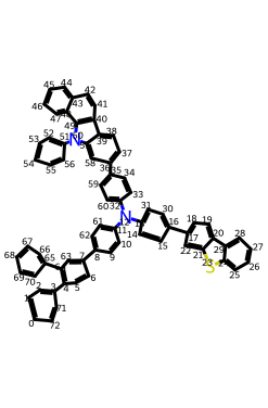 c1ccc(-c2ccc(-c3ccc(N(c4ccc(-c5ccc6c(c5)sc5ccccc56)cc4)c4ccc(-c5ccc6c7ccc8ccccc8c7n(-c7ccccc7)c6c5)cc4)cc3)cc2-c2ccccc2)cc1